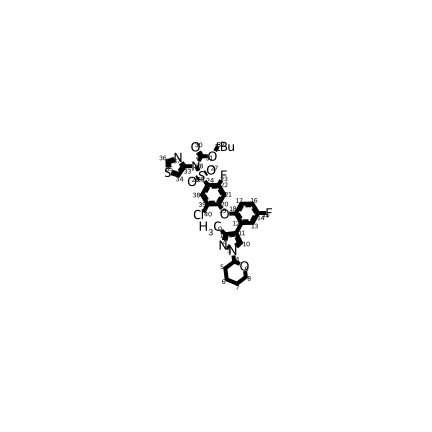 Cc1nn(C2CCCCO2)cc1-c1cc(F)ccc1Oc1cc(F)c(S(=O)(=O)N(C(=O)OC(C)(C)C)c2cscn2)cc1Cl